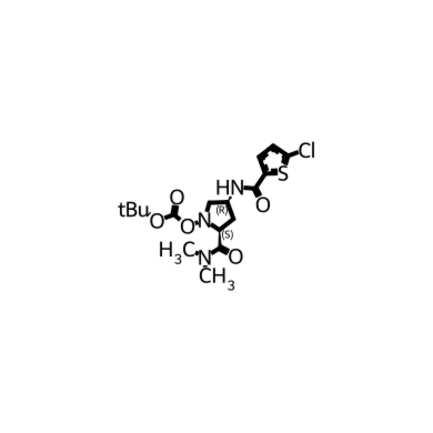 CN(C)C(=O)[C@@H]1C[C@@H](NC(=O)c2ccc(Cl)s2)CN1OC(=O)OC(C)(C)C